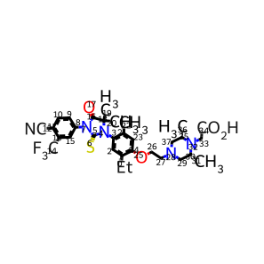 CCc1cc(N2C(=S)N(c3ccc(C#N)c(C(F)(F)F)c3)C(=O)C2(C)C)c(C)cc1OCCN1C[C@@H](C)N(CC(=O)O)[C@@H](C)C1